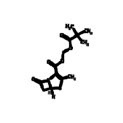 CC1=C(C(=O)OCOC(=O)C(C)(C)C)N2C(=O)C[C@H]2S1